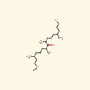 CC(C)CCCC(C)CCCC(C)C(=O)C(C)CCCC(C)CCCC(C)C